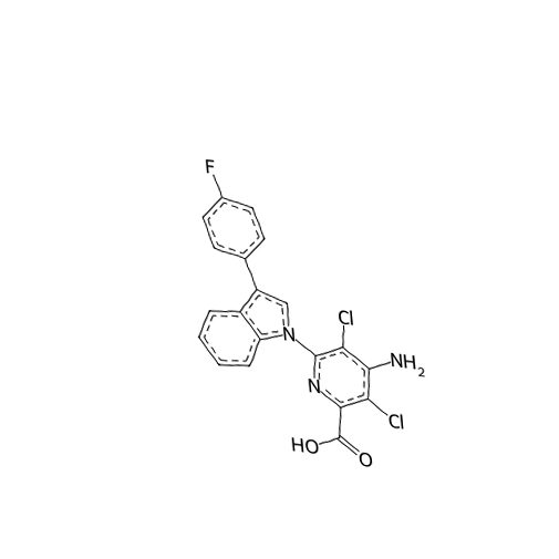 Nc1c(Cl)c(C(=O)O)nc(-n2cc(-c3ccc(F)cc3)c3ccccc32)c1Cl